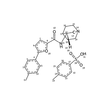 Cc1ccc(-c2ccc(C(=O)N[C@H]3CN4CCC3CC4)o2)cc1.Cc1ccc(S(=O)(=O)O)cc1